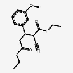 CCOC(=O)CC(c1cccc(OC)c1)C(C#N)C(=O)OCC